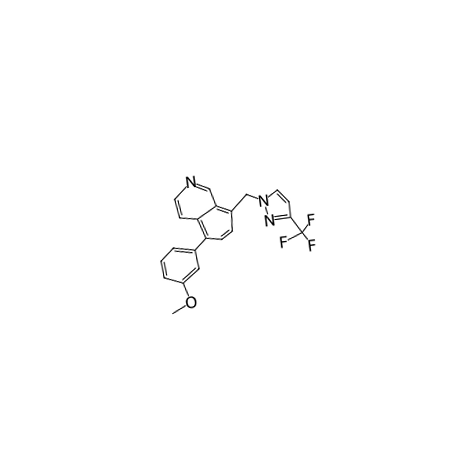 COc1cccc(-c2ccc(Cn3ccc(C(F)(F)F)n3)c3cnccc23)c1